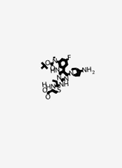 CCC1(Nc2nc(N3CC4CC3CC4N)c3c(n2)[nH]c2c(N(C)C(=O)OC(C)(C)C)cc(F)cc23)NC(C(=O)O)=CS1